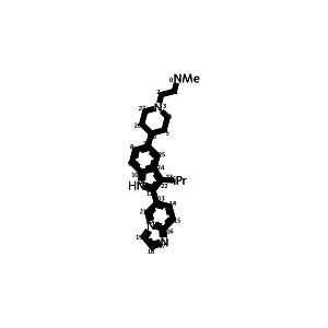 CNCCN1CCC(c2ccc3[nH]c(-c4ccc5nccn5c4)c(C(C)C)c3c2)CC1